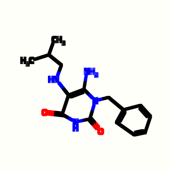 CC(C)CNc1c(N)n(Cc2ccccc2)c(=O)[nH]c1=O